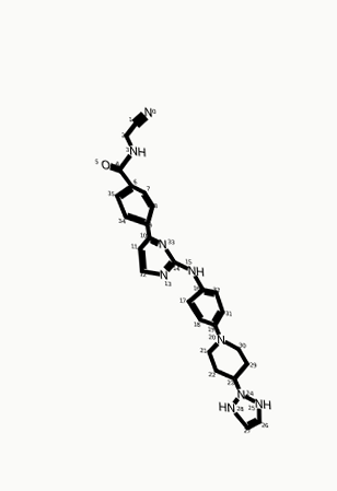 N#CCNC(=O)c1ccc(-c2ccnc(Nc3ccc(N4CCC(N5NC=CN5)CC4)cc3)n2)cc1